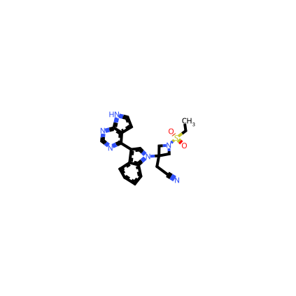 CCS(=O)(=O)N1CC(CC#N)(n2cc(-c3ncnc4[nH]ccc34)c3ccccc32)C1